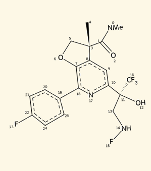 CNC(=O)[C@@]1(C)COc2c1cc([C@@](O)(CNF)C(F)(F)F)nc2-c1ccc(F)cc1